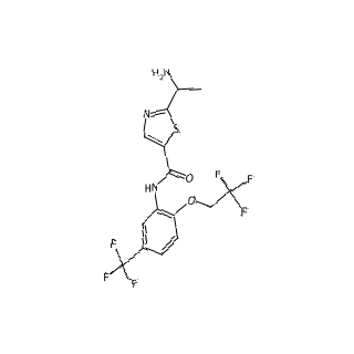 CC(N)c1ncc(C(=O)Nc2cc(C(F)(F)F)ccc2OCC(F)(F)F)s1